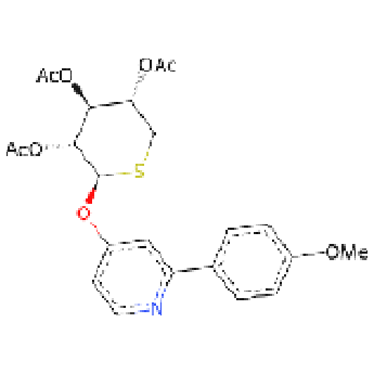 COc1ccc(-c2cc(O[C@@H]3SC[C@@H](OC(C)=O)[C@H](OC(C)=O)[C@H]3OC(C)=O)ccn2)cc1